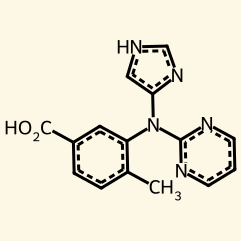 Cc1ccc(C(=O)O)cc1N(c1c[nH]cn1)c1ncccn1